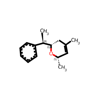 CC1=C[C@H](C)O[C@H]([C@H](C)c2ccccc2)C1